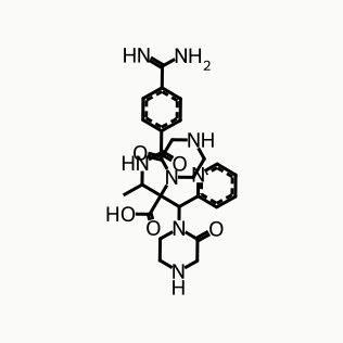 CC(NC(=O)c1ccc(C(=N)N)cc1)C(C(=O)O)(C(c1ccccn1)N1CCNCC1=O)N1CCNCC1=O